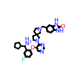 NC(c1cc(F)ccc1Oc1cncnc1N1CCC2(CCN(Cc3ccc4[nH]c(=O)[nH]c4c3)C2)C1)C1CCCC1